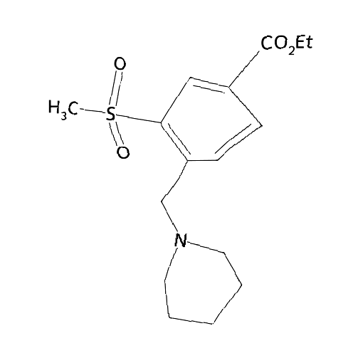 CCOC(=O)c1ccc(CN2CCCCC2)c(S(C)(=O)=O)c1